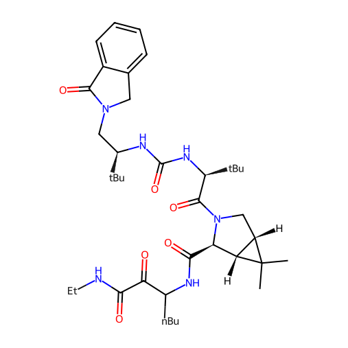 CCCCC(NC(=O)[C@@H]1[C@@H]2[C@H](CN1C(=O)[C@@H](NC(=O)N[C@H](CN1Cc3ccccc3C1=O)C(C)(C)C)C(C)(C)C)C2(C)C)C(=O)C(=O)NCC